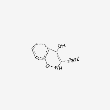 CCCCCC1=C(O)c2ccccc2ON1